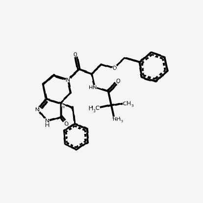 CC(C)(N)C(=O)NC(COCc1ccccc1)C(=O)N1CCC2=NNC(=O)[C@@]2(Cc2ccccc2)C1